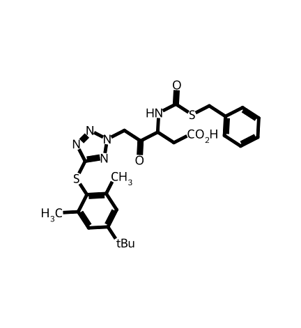 Cc1cc(C(C)(C)C)cc(C)c1Sc1nnn(CC(=O)C(CC(=O)O)NC(=O)SCc2ccccc2)n1